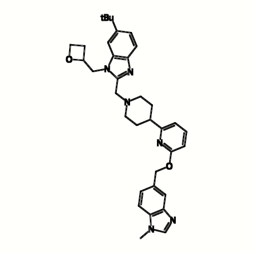 Cn1cnc2cc(COc3cccc(C4CCN(Cc5nc6ccc(C(C)(C)C)cc6n5CC5CCO5)CC4)n3)ccc21